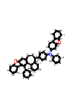 c1ccc(-c2c3c(cc4oc5ccccc5c24)CCC(c2ccc(N(c4ccccc4)c4ccc5c(c4)oc4ccccc45)cc2)c2ccccc2-3)cc1